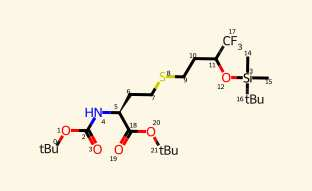 CC(C)(C)OC(=O)N[C@@H](CCSCCC(O[Si](C)(C)C(C)(C)C)C(F)(F)F)C(=O)OC(C)(C)C